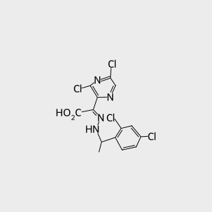 CC(NN=C(C(=O)O)c1ncc(Cl)nc1Cl)c1ccc(Cl)cc1Cl